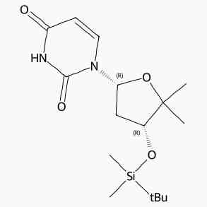 CC1(C)O[C@@H](n2ccc(=O)[nH]c2=O)C[C@H]1O[Si](C)(C)C(C)(C)C